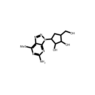 CSc1nc(N)nc2c1nnn2C1CC(CO)C(O)C1O